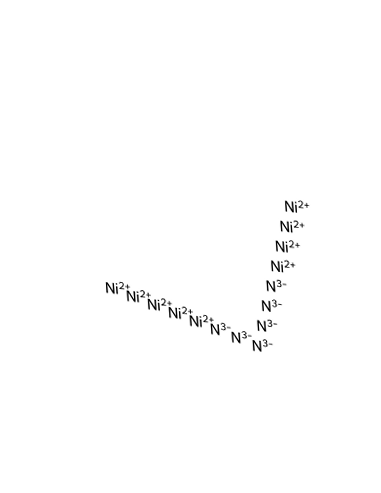 [N-3].[N-3].[N-3].[N-3].[N-3].[N-3].[Ni+2].[Ni+2].[Ni+2].[Ni+2].[Ni+2].[Ni+2].[Ni+2].[Ni+2].[Ni+2]